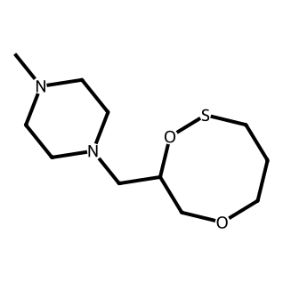 CN1CCN(CC2COCCCSO2)CC1